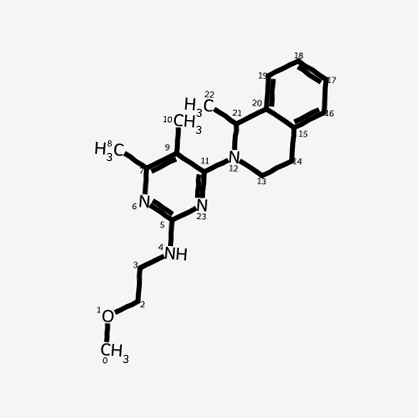 COCCNc1nc(C)c(C)c(N2CCc3ccccc3C2C)n1